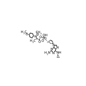 COc1ccc(N(OC)[C@@H](C)C(=O)OP(=O)(O)OC[C@@H]2C=C[C@H](n3cnc4c(NC5CC5)nc(N)nc43)C2)cc1